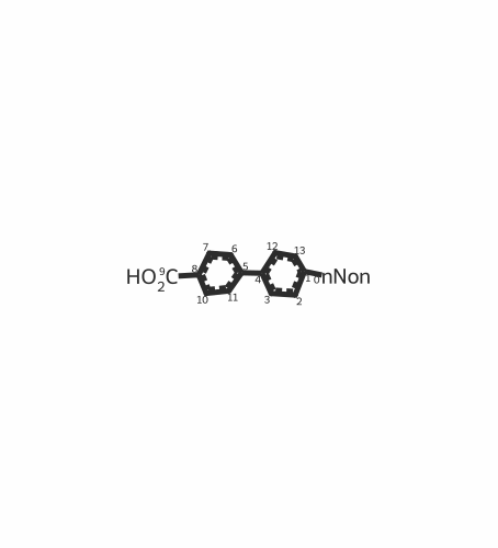 CCCCCCCCCc1ccc(-c2ccc(C(=O)O)cc2)cc1